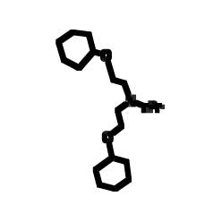 CC[CH]N(CCOC1CCCCC1)CCOC1CCCCC1